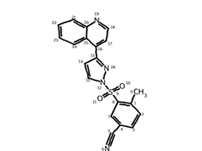 Cc1ccc(C#N)cc1S(=O)(=O)n1ccc(-c2ccnc3ccccc23)n1